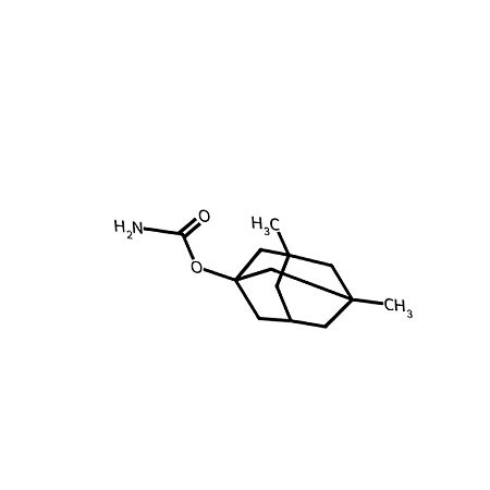 CC12CC3CC(C)(C1)CC(OC(N)=O)(C3)C2